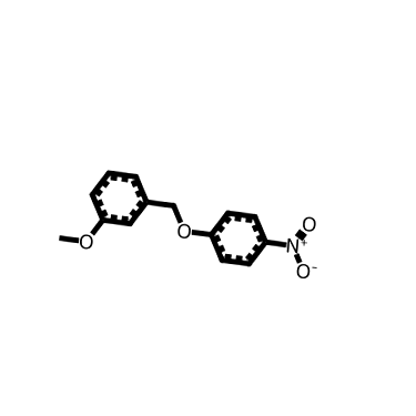 COc1cccc(COc2ccc([N+](=O)[O-])cc2)c1